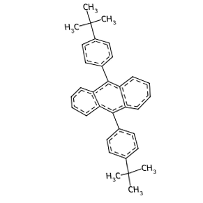 CC(C)(C)c1ccc(-c2c3ccccc3c(-c3ccc(C(C)(C)C)cc3)c3ccccc23)cc1